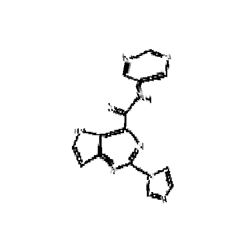 O=C(Nc1cncnc1)c1nc(-n2ccnc2)nc2cc[nH]c12